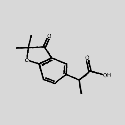 CC(C(=O)O)c1ccc2c(c1)C(=O)C(C)(C)O2